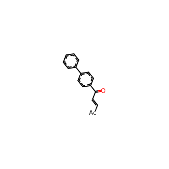 CC(=O)C=CC(=O)c1ccc(-c2ccccc2)cc1